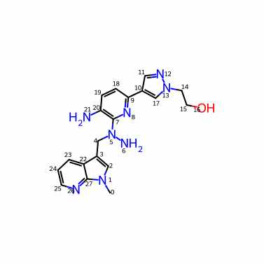 Cn1cc(CN(N)c2nc(-c3cnn(CCO)c3)ccc2N)c2cccnc21